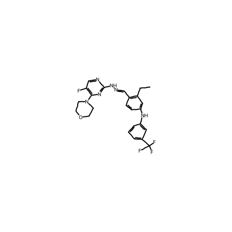 CCc1cc(Nc2cccc(C(F)(F)F)c2)ccc1/C=N/Nc1ncc(F)c(N2CCOCC2)n1